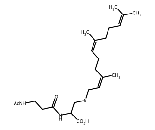 CC(=O)NCCC(=O)NC(CSCC=C(C)CCC=C(C)CCC=C(C)C)C(=O)O